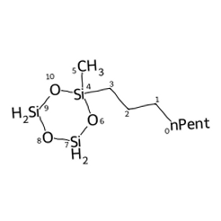 CCCCCCCC[Si]1(C)O[SiH2]O[SiH2]O1